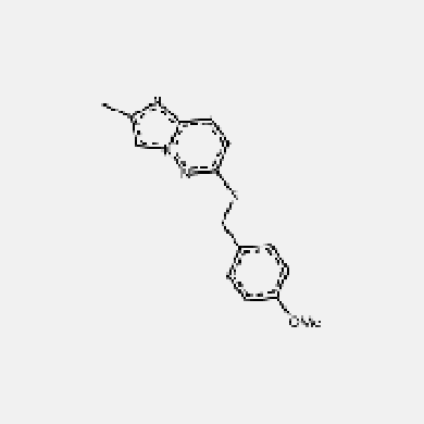 COc1ccc(CSc2ccc3nc(C)cn3n2)cc1